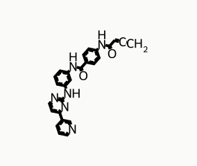 C=C=CC(=O)Nc1ccc(C(=O)Nc2cccc(Nc3nccc(-c4cccnc4)n3)c2)cc1